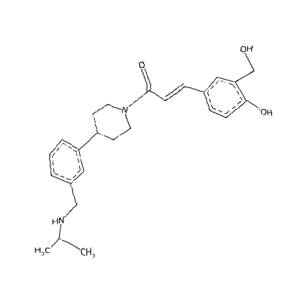 CC(C)NCc1cccc(C2CCN(C(=O)/C=C/c3ccc(O)c(CO)c3)CC2)c1